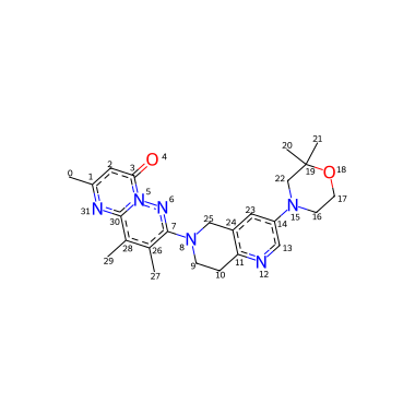 Cc1cc(=O)n2nc(N3CCc4ncc(N5CCOC(C)(C)C5)cc4C3)c(C)c(C)c2n1